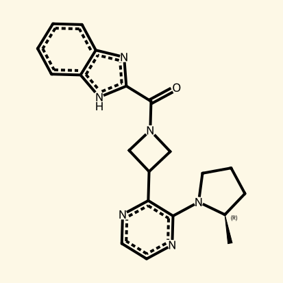 C[C@@H]1CCCN1c1nccnc1C1CN(C(=O)c2nc3ccccc3[nH]2)C1